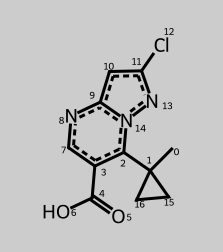 CC1(c2c(C(=O)O)cnc3cc(Cl)nn23)CC1